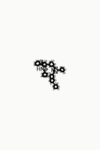 c1ccc(-c2ccc3ccc(-c4nc(-c5ccccc5)nc(-c5cccc(-c6cc7oc8ccccc8c7c7c6SC(c6ccccc6)N7)c5)n4)cc3c2)cc1